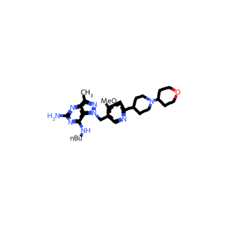 CCCCNc1nc(N)nc2c(C)nn(Cc3cnc(C4CCN(C5CCOCC5)CC4)cc3OC)c12